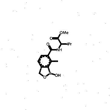 COC(=O)C(NC(=O)c1ccc2c(c1C)B(O)OC2)C(C)C